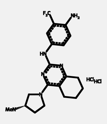 CN[C@H]1CCN(c2nc(Nc3ccc(N)c(C(F)(F)F)c3)nc3c2CCCC3)C1.Cl.Cl